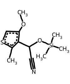 COc1csc(C)c1C(C#N)O[Si](C)(C)C